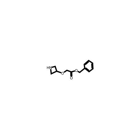 O=C(COC1CNC1)OCc1ccccc1